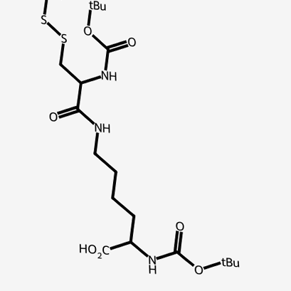 CC(C)(C)OC(=O)NC(CCCCNC(=O)C(CSSC(C)(C)C)NC(=O)OC(C)(C)C)C(=O)O